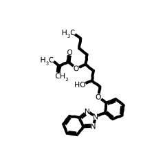 C=C(C)C(=O)OC(CCCC)CC(O)COc1ccccc1-n1nc2ccccc2n1